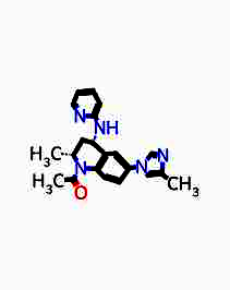 CC(=O)N1c2ccc(-n3cnc(C)c3)cc2[C@@H](Nc2ccccn2)C[C@H]1C